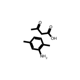 CC(=O)CC(=O)O.Cc1ccc(C)c(N)c1